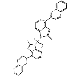 CCC(C)(C1C(C)=Cc2c(-c3ccc4ccccc4c3)cccc21)C1C(C)=Cc2c(-c3ccc4ccccc4c3)cccc21